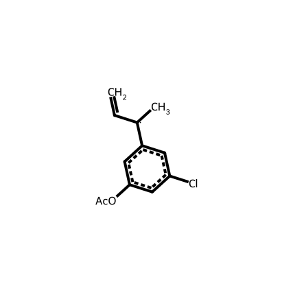 C=C[C](C)c1cc(Cl)cc(OC(C)=O)c1